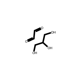 O=CC=O.OCC(O)CO